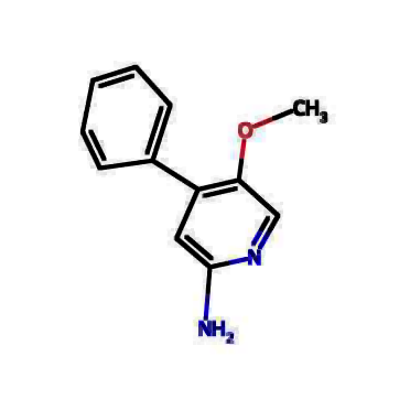 COc1cnc(N)cc1-c1ccccc1